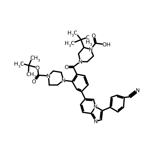 CC(C)(C)OC(=O)N1CCN(c2cc(-c3ccc4ncc(-c5ccc(C#N)cc5)n4c3)ccc2C(=O)N2CCN(C(=O)O)C(C(C)(C)C)C2)CC1